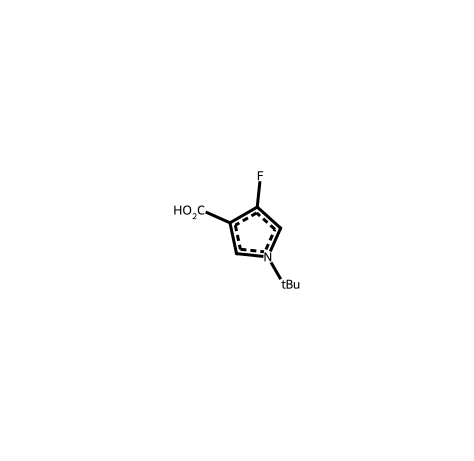 CC(C)(C)n1cc(F)c(C(=O)O)c1